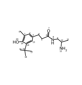 Cc1cc(CCC(=O)NCC(C)N)cc(C(C)(C)C)c1O